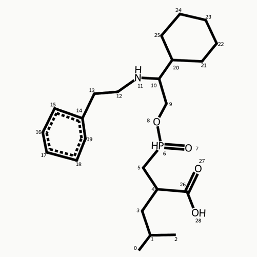 CC(C)CC(C[PH](=O)OCC(NCCc1ccccc1)C1CCCCC1)C(=O)O